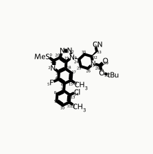 CSc1nc2c(F)c(-c3cccc(C)c3Cl)c(C)cc2c2c1nnn2[C@H]1CCN(C(=O)OC(C)(C)C)[C@H](CC#N)C1